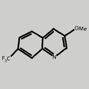 COc1cnc2cc(C(F)(F)F)ccc2c1